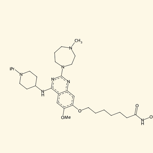 COc1cc2c(NC3CCN(C(C)C)CC3)nc(N3CCCN(C)CC3)nc2cc1OCCCCCCC(=O)NO